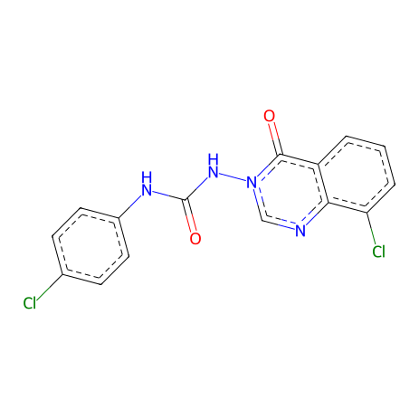 O=C(Nc1ccc(Cl)cc1)Nn1cnc2c(Cl)cccc2c1=O